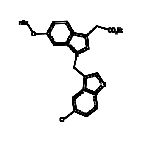 CCCCOc1ccc2c(CC(=O)OCC)cn(Cc3csc4ccc(Cl)cc34)c2c1